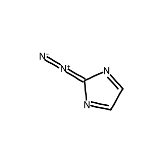 [N-]=[N+]=C1N=CC=N1